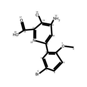 COc1ccc(Br)cc1-c1cc(N)c(Cl)c(C(=O)O)n1